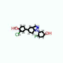 Oc1ccc(F)c(-n2ncc3cc(-c4ccc(O)c(Cl)c4)ccc32)c1